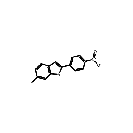 Cc1ccc2cc(-c3ccc([N+](=O)[O-])cc3)sc2c1